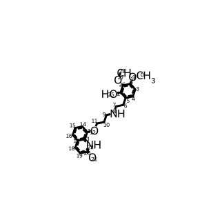 COc1ccc(CCNCCCOc2cccc3ccc(=O)[nH]c23)c(O)c1OC